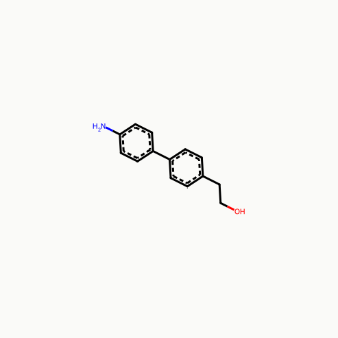 Nc1ccc(-c2c[c]c(CCO)cc2)cc1